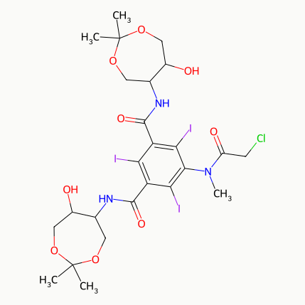 CN(C(=O)CCl)c1c(I)c(C(=O)NC2COC(C)(C)OCC2O)c(I)c(C(=O)NC2COC(C)(C)OCC2O)c1I